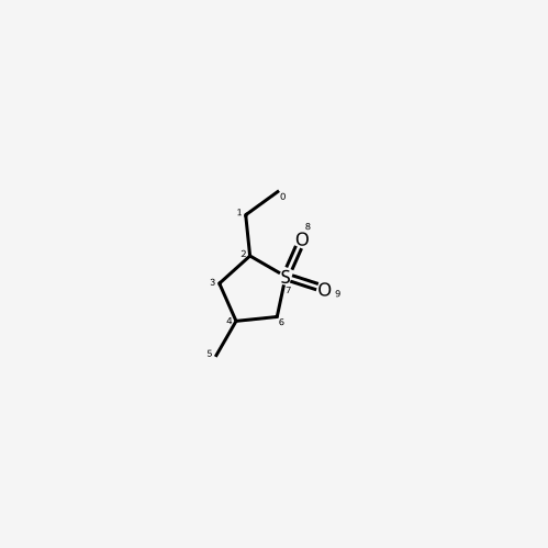 CCC1CC(C)CS1(=O)=O